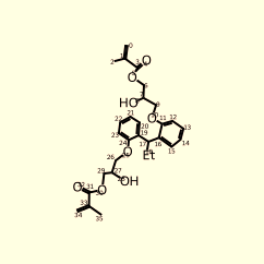 C=C(C)C(=O)OCC(O)COc1ccccc1C(CC)c1ccccc1OCC(O)COC(=O)C(=C)C